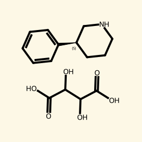 O=C(O)C(O)C(O)C(=O)O.c1ccc([C@@H]2CCCNC2)cc1